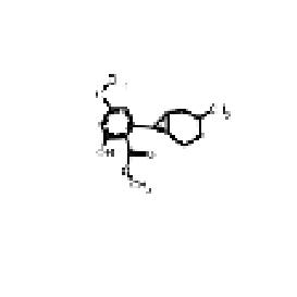 COC(=O)c1c(O)cc(OC)cc1C1=C2CCC(C)CC21